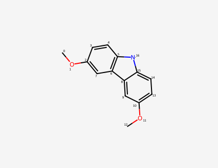 COc1ccc2c(c1)-c1cc(OC)ccc1[N]2